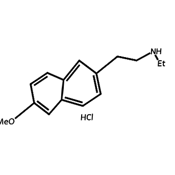 CCNCCc1ccc2cc(OC)ccc2c1.Cl